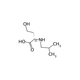 CC(C)CN[C@@H](CCO)C(=O)O